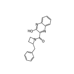 O=C(c1nc2ccccc2nc1O)N1CCC1Cc1ccccc1